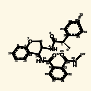 C[C@H](C(=O)NC1COc2ccccc2C1NC(=O)c1ccccc1C(=O)NI)c1ccc(F)cc1